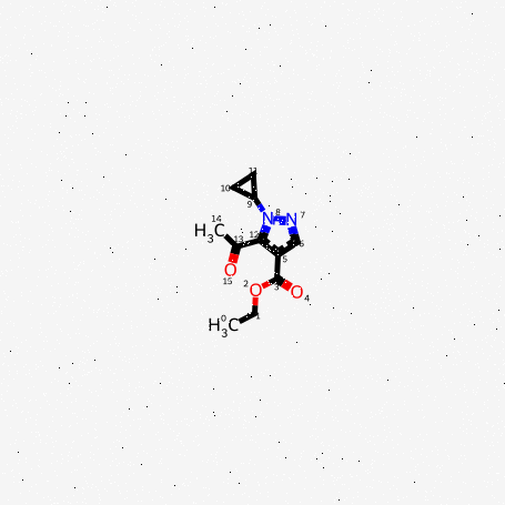 CCOC(=O)c1cnn(C2CC2)c1C(C)=O